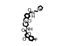 O=C(NCCN1CCCC1)c1ccc(CN2CCC(NC(=O)c3cc(=O)c4ccc(F)cc4o3)CC2)c(Cl)c1